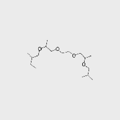 CCC(C)COC(C)COCCOCC(C)OCC(C)C